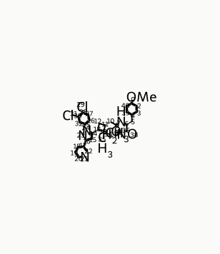 COc1ccc(C[C@H](NC(=O)C[C@H]2C[C@H](c3cc(-c4cccnc4)nn3-c3ccc(Cl)c(Cl)c3)C2(C)C)C(N)=O)cc1